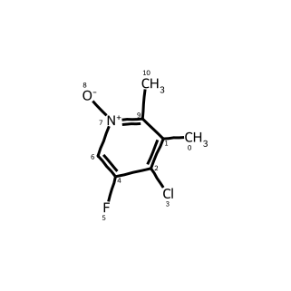 Cc1c(Cl)c(F)c[n+]([O-])c1C